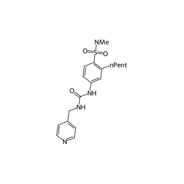 CCCCCc1cc(NC(=O)NCc2ccncc2)ccc1S(=O)(=O)NC